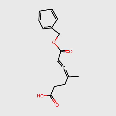 CC(=C=CC(=O)OCc1ccccc1)CCC(=O)O